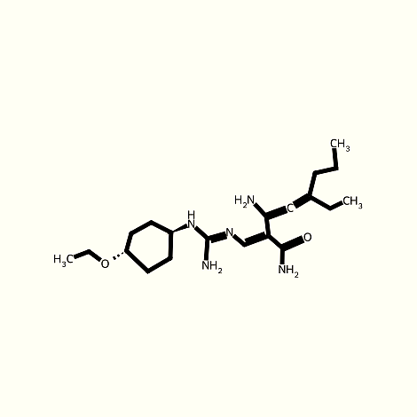 CCCC(=C=C(N)/C(=C\N=C(/N)N[C@H]1CC[C@H](OCC)CC1)C(N)=O)CC